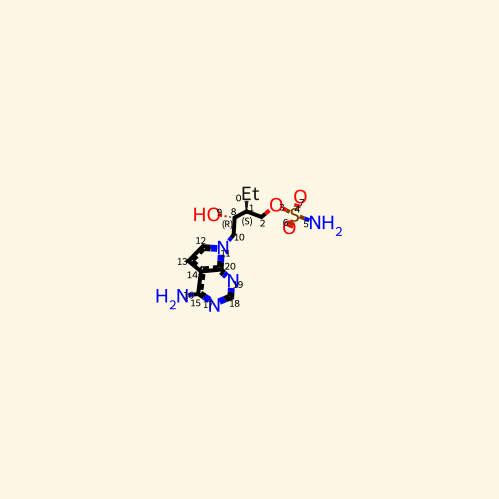 CC[C@@H](COS(N)(=O)=O)[C@@H](O)Cn1ccc2c(N)ncnc21